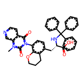 Cn1c(=O)n(-c2ccc(C[C@H](NC(c3ccccc3)(c3ccccc3)c3ccccc3)C(=O)O)c3c2OCCC3)c(=O)c2ccncc21